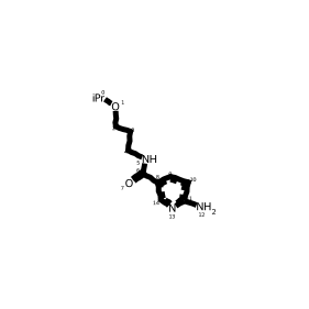 CC(C)OCCCNC(=O)c1ccc(N)nc1